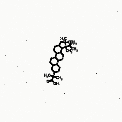 C=C(C)C1(C)C2C(CCC3C4CCC5CC(C(C)(C)C(=O)O)CCC5C4CCC32)CC1(C)C